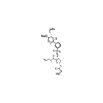 C=CCOC(=O)N1C[C@@H](SC(=O)OC(C)(C)C)C[C@H]1CNS(=O)(=O)c1cccc(C(=O)N[C@@H](CCSC)C(=O)OC)c1